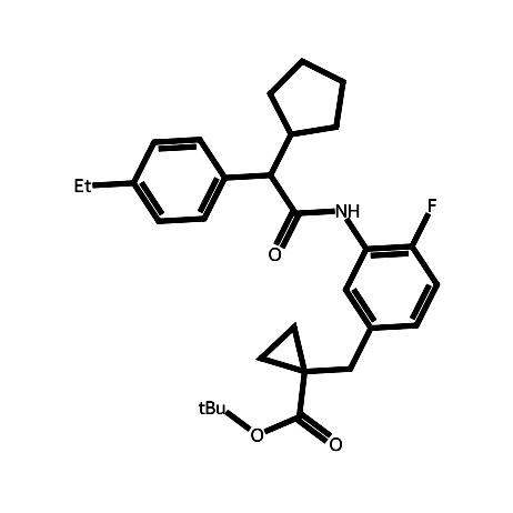 CCc1ccc(C(C(=O)Nc2cc(CC3(C(=O)OC(C)(C)C)CC3)ccc2F)C2CCCC2)cc1